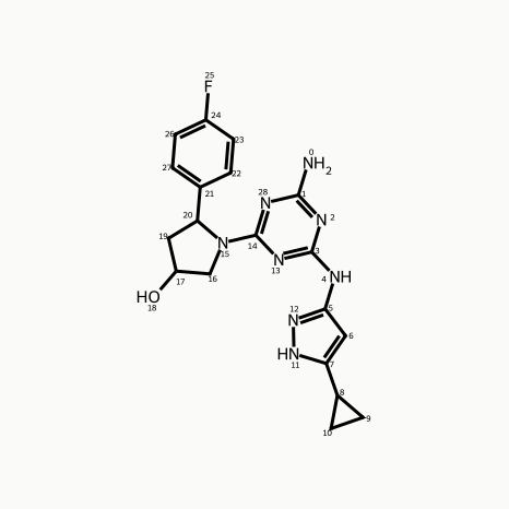 Nc1nc(Nc2cc(C3CC3)[nH]n2)nc(N2CC(O)CC2c2ccc(F)cc2)n1